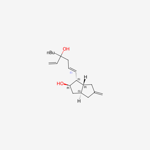 C=CC(O)(C/C=C/[C@@H]1[C@@H]2CC(=C)C[C@H]2C[C@H]1O)CCCC